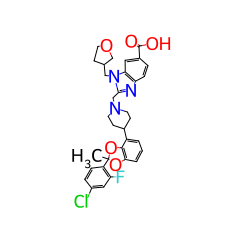 CC1(c2ccc(Cl)cc2F)Oc2cccc(C3CCN(Cc4nc5ccc(C(=O)O)cc5n4CC4CCOC4)CC3)c2O1